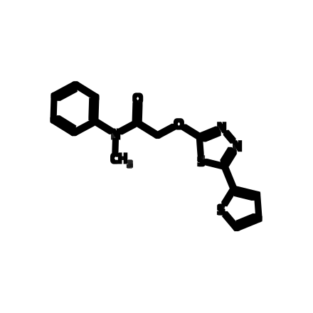 CN(C(=O)COc1nnc(-c2cccs2)s1)c1ccccc1